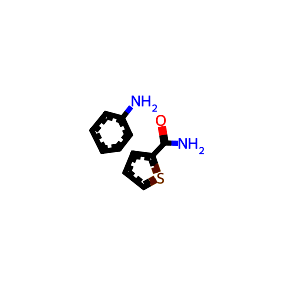 NC(=O)c1cccs1.Nc1ccccc1